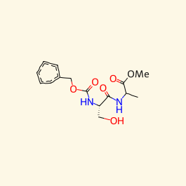 COC(=O)C(C)NC(=O)[C@H](CO)NC(=O)OCc1ccccc1